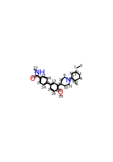 CC[C@@H]1CC[C@@H](C)[C@@H](N2CCC(c3cc(-c4ccc(C(=O)NC)cc4)ccc3OC)CC2)C1